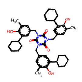 Cc1cc(Cn2c(=O)n(Cc3cc(C)c(O)c(C4CCCCC4)c3)c(=O)n(Cc3cc(C)c(O)c(C4CCCCC4)c3)c2=O)cc(C2CCCCC2)c1O